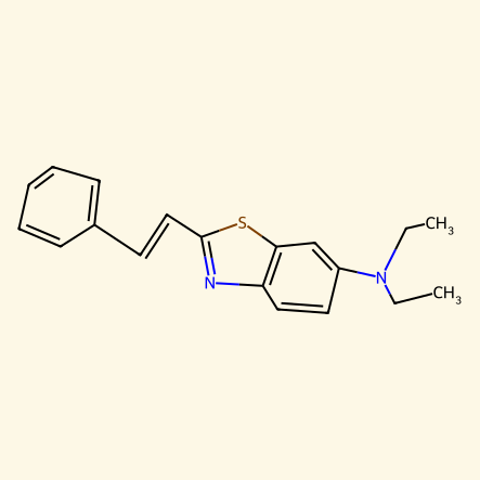 CCN(CC)c1ccc2nc(/C=C/c3ccccc3)sc2c1